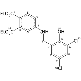 CCOC(=O)c1ccc(NCc2cc(Cl)cc(Cl)c2O)cc1C(=O)OCC